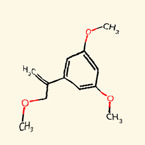 C=C(COC)c1cc(OC)cc(OC)c1